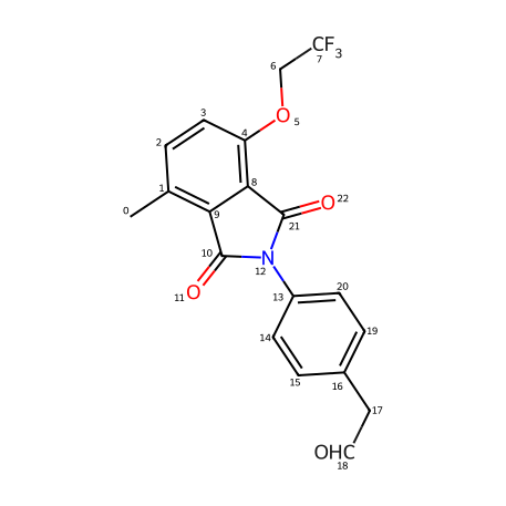 Cc1ccc(OCC(F)(F)F)c2c1C(=O)N(c1ccc(CC=O)cc1)C2=O